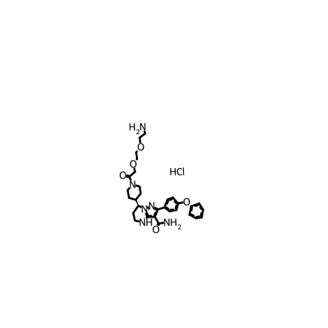 Cl.NCCOCCOCC(=O)N1CCC([C@@H]2CCNc3c(C(N)=O)c(-c4ccc(Oc5ccccc5)cc4)nn32)CC1